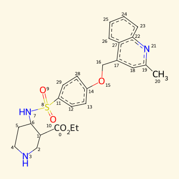 CCOC(=O)C1CNCCC1NS(=O)(=O)c1ccc(OCc2cc(C)nc3ccccc23)cc1